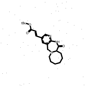 CC(C)(C)OC(=O)/C=C/c1cnc2c(c1)CN1CCCCCCC1C(=O)N2